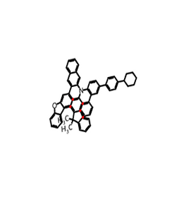 CC1(C)c2ccccc2-c2cc(N(c3ccc(-c4ccc(C5CCCCC5)cc4)cc3-c3ccccc3)c3cc4ccccc4cc3-c3ccc4c(c3)oc3ccccc34)ccc21